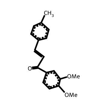 COc1ccc(C(=O)C=Cc2ccc(C)cc2)cc1OC